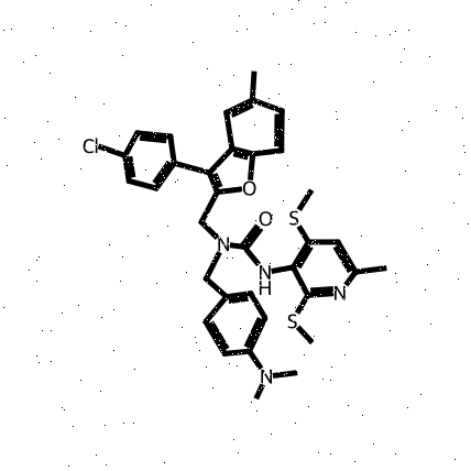 CSc1cc(C)nc(SC)c1NC(=O)N(Cc1ccc(N(C)C)cc1)Cc1oc2ccc(C)cc2c1-c1ccc(Cl)cc1